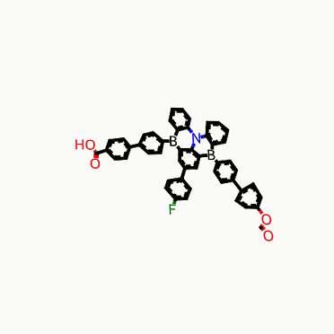 O=COc1ccc(-c2ccc(B3c4ccccc4N4c5ccccc5B(c5ccc(-c6ccc(C(=O)O)cc6)cc5)c5cc(-c6ccc(F)cc6)cc3c54)cc2)cc1